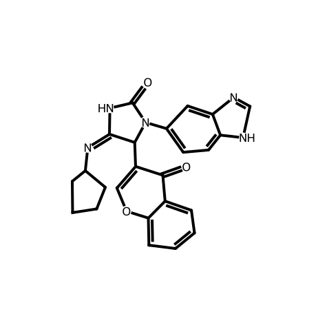 O=C1N/C(=N/C2CCCC2)C(c2coc3ccccc3c2=O)N1c1ccc2[nH]cnc2c1